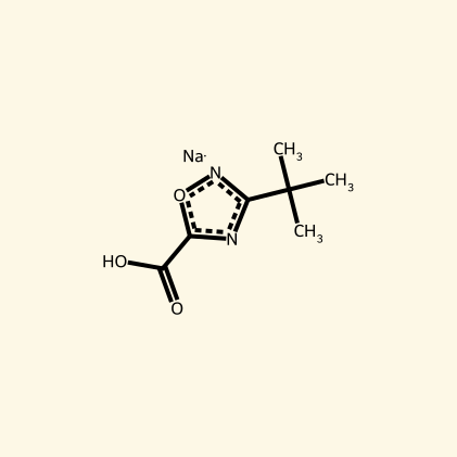 CC(C)(C)c1noc(C(=O)O)n1.[Na]